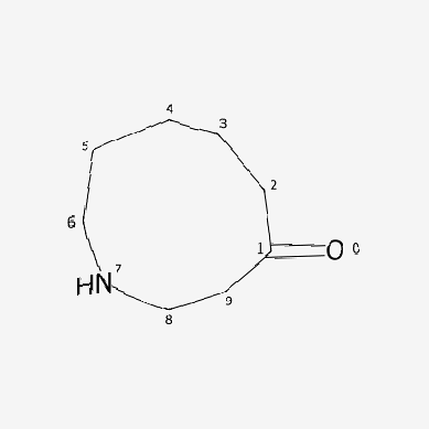 O=C1CCCCCNCC1